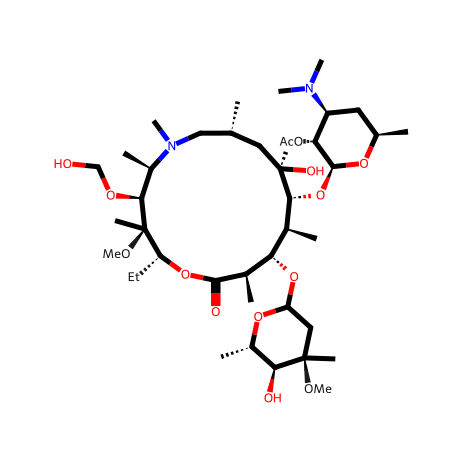 CC[C@H]1OC(=O)[C@H](C)[C@@H](OC2C[C@@](C)(OC)[C@@H](O)[C@H](C)O2)[C@H](C)[C@@H](O[C@@H]2O[C@H](C)C[C@H](N(C)C)[C@H]2OC(C)=O)[C@](C)(O)C[C@@H](C)CN(C)[C@H](C)[C@H](OCO)[C@]1(C)OC